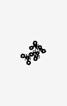 c1ccc(-c2nc(-c3ccccc3)nc(-c3ccc4c(c3)B3c5ccccc5Oc5cc(-n6c7ccccc7c7ccc8c(nc9n(-c%10ccccc%10)c%10ccccc%10n89)c76)cc(c53)O4)n2)cc1